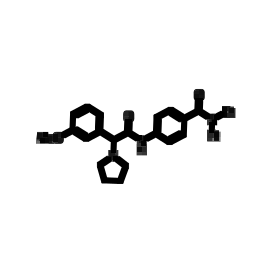 CCN(CC)C(=O)c1ccc(NC(=O)C(c2cccc(OC)c2)N2CCCC2)cc1